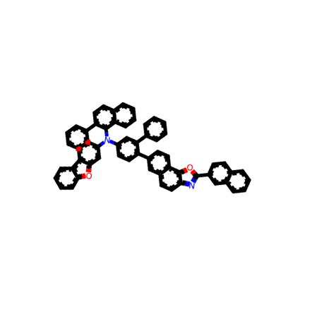 c1ccc(-c2cc(N(c3ccc4c(c3)oc3ccccc34)c3c(-c4ccccc4)ccc4ccccc34)ccc2-c2ccc3c(ccc4nc(-c5ccc6ccccc6c5)oc43)c2)cc1